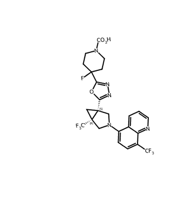 O=C(O)N1CCC(F)(c2nnc([C@]34CN(c5ccc(C(F)(F)F)c6ncccc56)C[C@@]3(C(F)(F)F)C4)o2)CC1